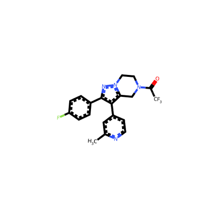 Cc1cc(-c2c(-c3ccc(F)cc3)nn3c2CN(C(=O)C(F)(F)F)CC3)ccn1